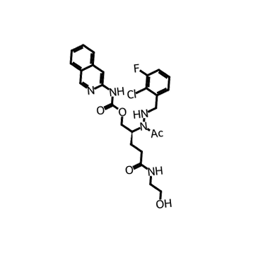 CC(=O)N(NCc1cccc(F)c1Cl)[C@@H](CCC(=O)NCCO)COC(=O)Nc1cc2ccccc2cn1